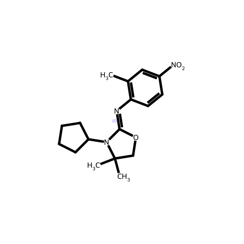 Cc1cc([N+](=O)[O-])ccc1/N=C1\OCC(C)(C)N1C1CCCC1